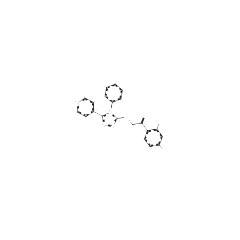 O=C(CSc1nnc(-c2ccncc2)n1-c1ccccc1)c1ccc(Cl)cc1Cl